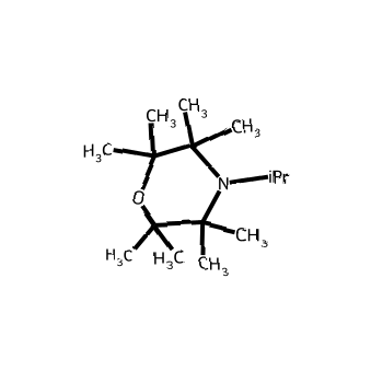 CC(C)N1C(C)(C)C(C)(C)OC(C)(C)C1(C)C